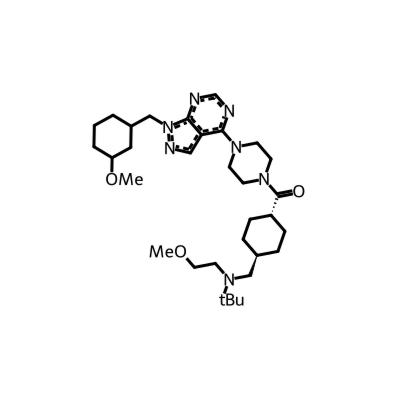 COCCN(C[C@H]1CC[C@H](C(=O)N2CCN(c3ncnc4c3cnn4CC3CCCC(OC)C3)CC2)CC1)C(C)(C)C